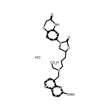 COc1ccc2nccc(CN(CCCC3CN(c4ccc5c(c4)NC(=O)CS5)C(=O)O3)CC(=O)O)c2n1.Cl